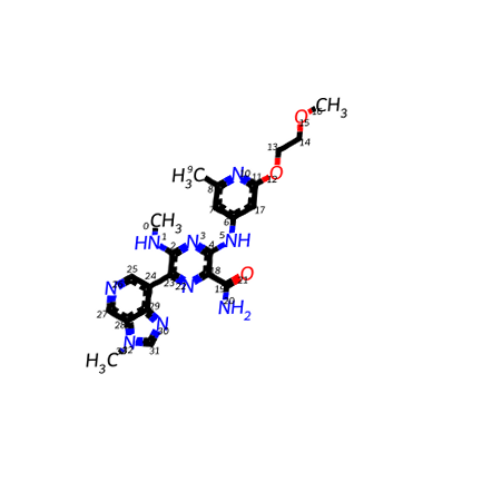 CNc1nc(Nc2cc(C)nc(OCCOC)c2)c(C(N)=O)nc1-c1cncc2c1ncn2C